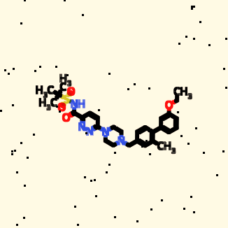 CCOc1cccc(-c2ccc(CN3CCN(c4ccc(C(=O)NS(=O)(=O)C(C)(C)C)nn4)CC3)cc2C)c1